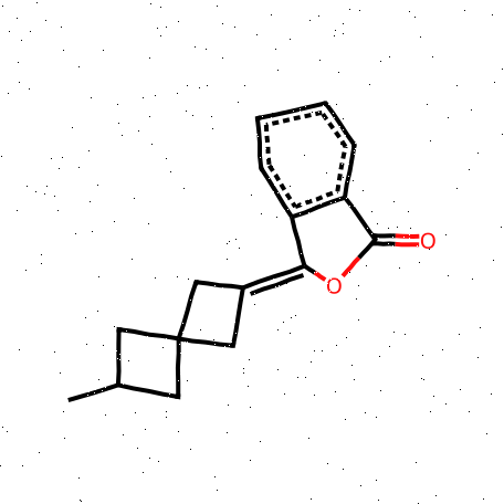 CC1CC2(CC(=C3OC(=O)c4ccccc43)C2)C1